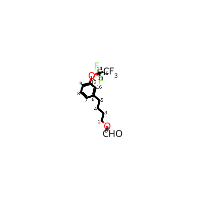 O=COCCCCc1cccc(OC(F)(F)C(F)(F)F)c1